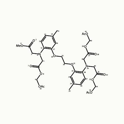 COC(=O)CN(CC(=O)OCOC(C)=O)c1ccc(C)cc1OCCOc1cc(C)ccc1N(CC(=O)OCOC(C)=O)CC(=O)OCOC(C)=O